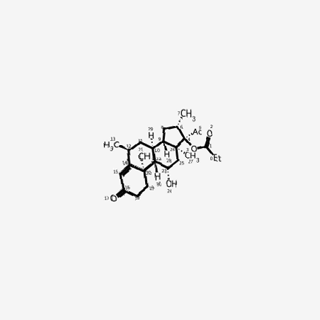 CCC(=O)O[C@]1(C(C)=O)[C@@H](C)C[C@H]2[C@@H]3C[C@H](C)C4=CC(=O)CC[C@]4(C)[C@H]3[C@@H](O)C[C@@]21C